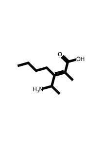 CCCCC(=C(C)C(=O)O)C(C)N